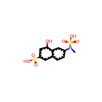 CN(c1ccc2cc(S(=O)(=O)O)cc(O)c2c1)S(=O)(=O)O